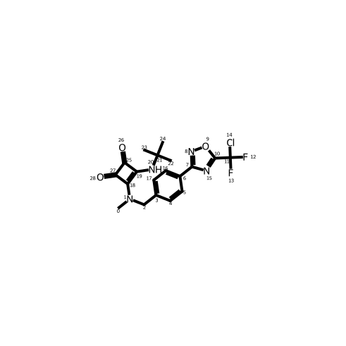 CN(Cc1ccc(-c2noc(C(F)(F)Cl)n2)cc1)c1c(NC(C)(C)C)c(=O)c1=O